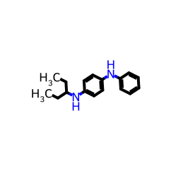 CCC(CC)Nc1ccc(Nc2ccccc2)cc1